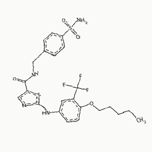 CCCCCOc1ccc(Nc2ncc(C(=O)NCc3ccc(S(N)(=O)=O)cc3)s2)cc1C(F)(F)F